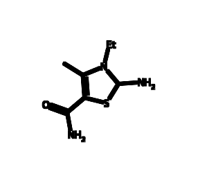 CCN1C(C)=C(C(N)=O)SC1N